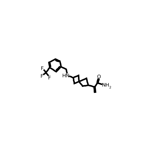 C=C(C(N)=O)C1CC2(CC(NCc3cccc(C(F)(F)F)c3)C2)C1